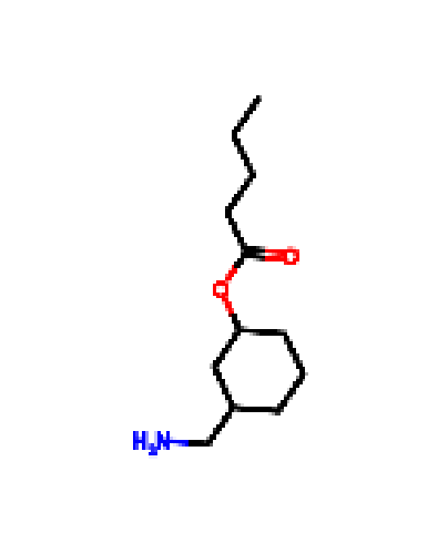 CCCCC(=O)OC1CCCC(CN)C1